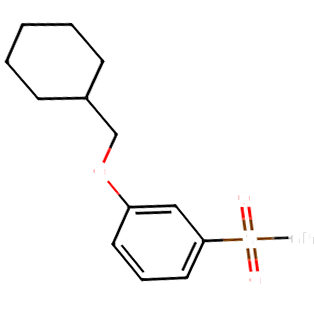 CCCS(=O)(=O)c1cccc(OCC2CCCCC2)c1